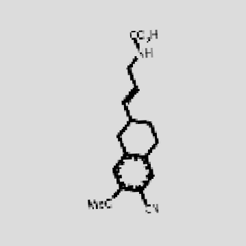 COc1cc2c(cc1C#N)CCC(C=CCNC(=O)O)C2